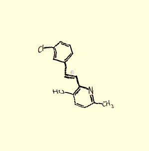 Cc1ccc(O)c(/C=C/c2cccc(Cl)c2)n1